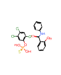 O=C(Nc1ccccc1)c1ccccc1O.OP(O)(=S)Oc1cc(Cl)c(Cl)cc1Cl